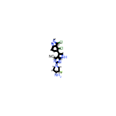 Cn1nc2ccc(-c3c[nH]c4nc(N5CC[C@@H](N)[C@H](F)C5)nc(C#N)c34)c(Cl)c2c1Cl